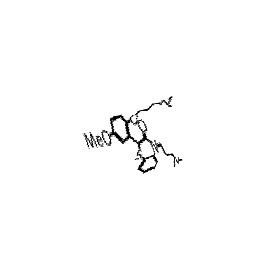 COc1ccc(OCCCN(C)C)c(C2Sc3ccccc3N(CCCN(C)C)C2=O)c1